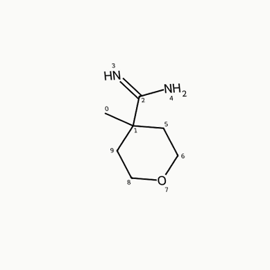 CC1(C(=N)N)CCOCC1